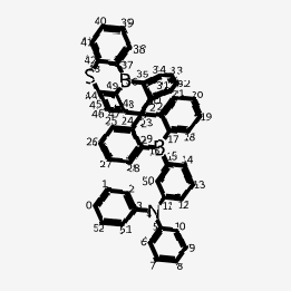 c1ccc(N(c2ccccc2)c2cccc(B3c4ccccc4C4(c5ccccc53)c3ccccc3B3c5ccccc5Sc5cccc4c53)c2)cc1